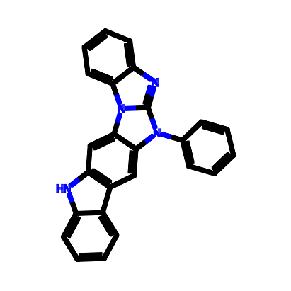 c1ccc(-n2c3cc4c(cc3n3c5ccccc5nc23)[nH]c2ccccc24)cc1